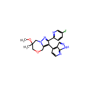 COC1(C)COCc2c(-c3ccnc4[nH]ncc34)c(-c3ccc(F)cn3)nn2C1